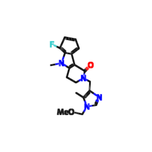 COCn1cnc(CN2CCc3c(c4cccc(F)c4n3C)C2=O)c1C